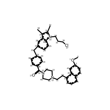 COc1ccc2cccc(CCN3CCN(C(=O)c4ccc(Cc5ccc6c(c5)c(C)c(C)n6CCCCl)cc4)CC3)c2c1